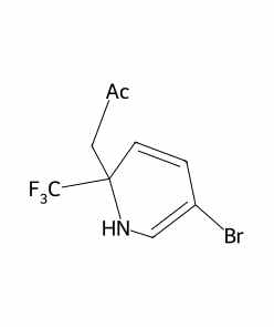 CC(=O)CC1(C(F)(F)F)C=CC(Br)=CN1